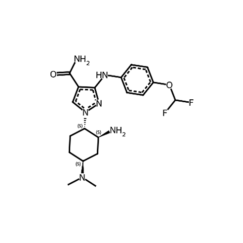 CN(C)[C@H]1CC[C@H](n2cc(C(N)=O)c(Nc3ccc(OC(F)F)cc3)n2)[C@@H](N)C1